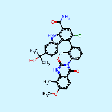 COc1ccc2c(=O)n(-c3cccc(-c4c(Cl)cc(C(N)=O)c5[nH]c6cc(C(C)(C)O)ccc6c45)c3C)c(=O)[nH]c2c1C